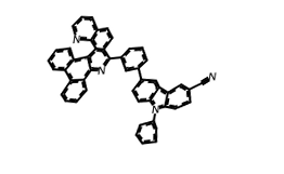 N#Cc1ccc2c(c1)c1cc(-c3cccc(-c4nc5c6ccccc6c6ccccc6c5c5c4ccc4cccnc45)c3)ccc1n2-c1ccccc1